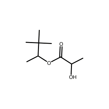 CC(O)C(=O)OC(C)C(C)(C)C